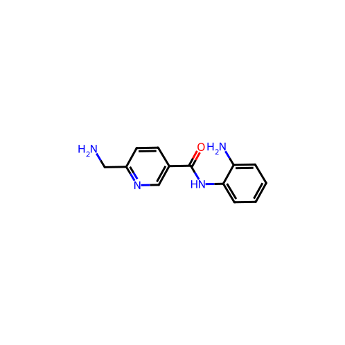 NCc1ccc(C(=O)Nc2ccccc2N)cn1